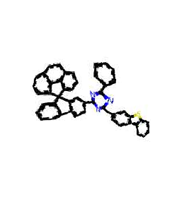 c1ccc(-c2nc(-c3ccc4c(c3)C3(c5ccccc5-4)c4cccc5ccc6cccc3c6c45)nc(-c3ccc4c(c3)sc3ccccc34)n2)cc1